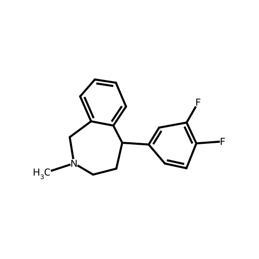 CN1CCC(c2ccc(F)c(F)c2)c2ccccc2C1